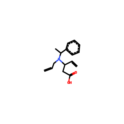 C=CCN(C(C=C)CC(=O)O)C(C)c1ccccc1